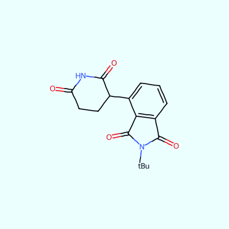 CC(C)(C)N1C(=O)c2cccc(C3CCC(=O)NC3=O)c2C1=O